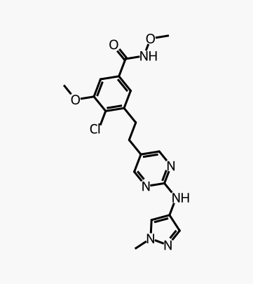 CONC(=O)c1cc(CCc2cnc(Nc3cnn(C)c3)nc2)c(Cl)c(OC)c1